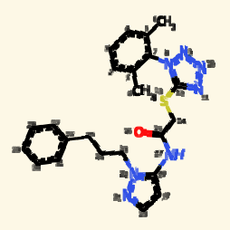 Cc1cccc(C)c1-n1nnnc1SCC(=O)Nc1ccnn1CCCc1ccccc1